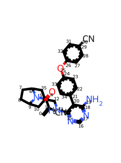 C=C(C#N)C(=O)N1C2CCC1CC(CNc1ncnc(N)c1-c1ccc(Oc3ccc(C#N)cc3)cc1)C2